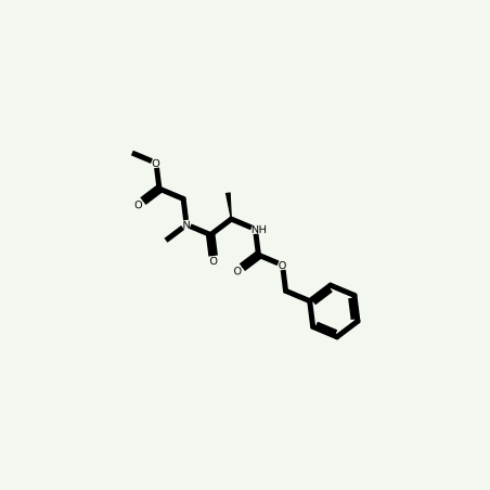 COC(=O)CN(C)C(=O)[C@@H](C)NC(=O)OCc1ccccc1